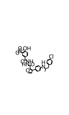 CC(Cc1ccc(Cl)cc1)Nc1ccc(-c2ccoc2C(=O)NNC(=O)c2ccc(O)c([N+](=O)[O-])c2)cc1